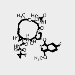 COc1cnc(O[C@@H]2C[C@H]3C(=O)N[C@]4(C(=O)NS(=O)(=O)C5(F)CC5)C[C@H]4/C=C\CC[C@H](C)C[C@@H](C)[C@H](NC(=O)O)C(=O)N3C2)c2cc(F)ccc12